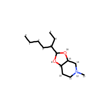 CCCCC(CC)C1OC2CCN(C)CC2O1